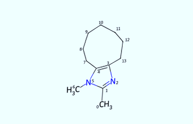 Cc1nc2c(n1C)CCCCCCC2